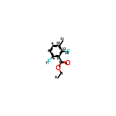 CCOC(=O)c1c(F)ccc(C)c1F